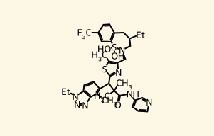 CCC1Cc2ccc(C(F)(F)F)cc2S(O)(O)N(Cc2nc(C(c3ccc4c(nnn4CC)c3C)C(C)(C)C(=O)Nc3cccnc3)sc2C)C1